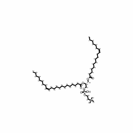 CCCCCC/C=C\CCCCCCCCCC(=O)OC[C@H](COP(=O)(O)OCC[N+](C)(C)C)OC(=O)CCCCCCCCCCC/C=C\CCCCCCCC